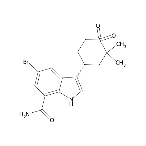 CC1(C)C[C@H](c2c[nH]c3c(C(N)=O)cc(Br)cc23)CCS1(=O)=O